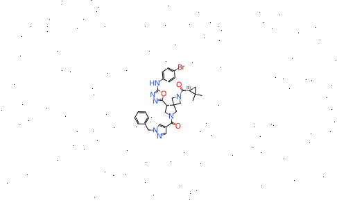 CC1(C)C[C@@H]1C(=O)N1CC2(CN(C(=O)c3cnn(Cc4ccccc4)c3)CC2c2nnc(Nc3ccc(Br)cc3)o2)C1